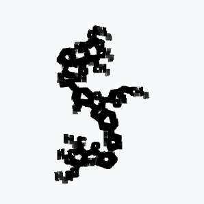 CCc1cc(C2Oc3cc(-c4cnc([C@@H]5CCCN5C(=O)[C@@H](NC(=O)OC)C(C)C)[nH]4)cc(F)c3-c3cc4cc(-c5cnc([C@@H]6CCCN6C(=O)C(NC(=O)OC)C(C)C)[nH]5)ccc4n32)on1